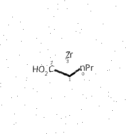 CCCCC(=O)O.[Zr]